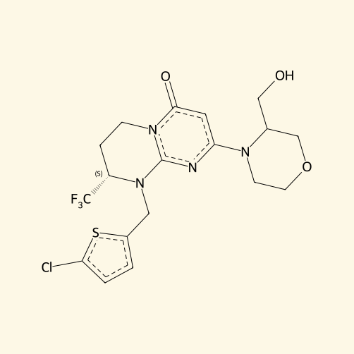 O=c1cc(N2CCOCC2CO)nc2n1CC[C@@H](C(F)(F)F)N2Cc1ccc(Cl)s1